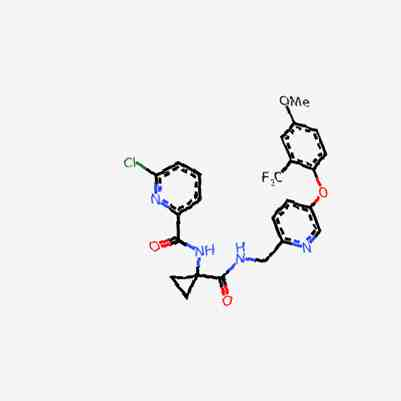 COc1ccc(Oc2ccc(CNC(=O)C3(NC(=O)c4cccc(Cl)n4)CC3)nc2)c(C(F)(F)F)c1